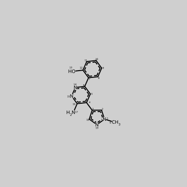 Cn1cc(-c2cc(-c3ccccc3O)nnc2N)cn1